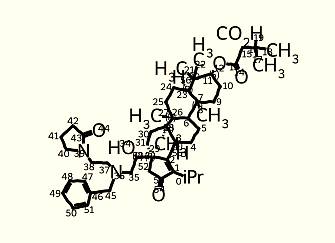 CC(C)C1=C2[C@H]3CCC4[C@@]5(C)CC[C@H](OC(=O)CC(C)(C)C(=O)O)C(C)(C)[C@@H]5CC[C@@]4(C)[C@]3(C)CC[C@@]2([C@@H](O)CN(CCN2CCCC2=O)Cc2ccccc2)CC1=O